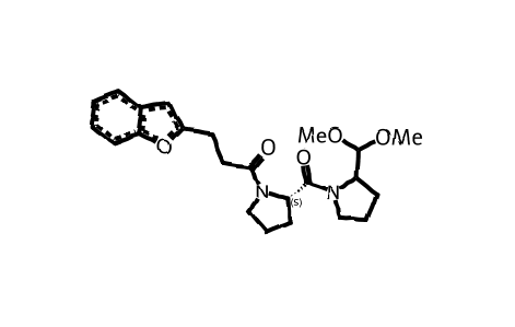 COC(OC)C1CCCN1C(=O)[C@@H]1CCCN1C(=O)CCc1cc2ccccc2o1